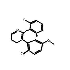 COc1ccc(Cl)c(C2=C(c3c(F)cccc3F)N=CCC2)c1